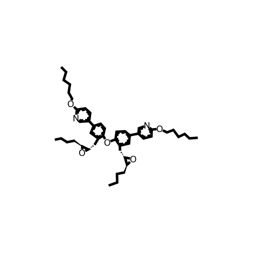 CCCCCCOc1ccc(-c2ccc(Oc3ccc(-c4ccc(OCCCCCC)nc4)cc3C[C@@H]3O[C@H]3CCCC)c(C[C@@H]3O[C@H]3CCCC)c2)cn1